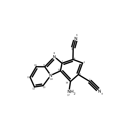 N#Cc1cc(C#N)c2nc3ccccn3c2c1N